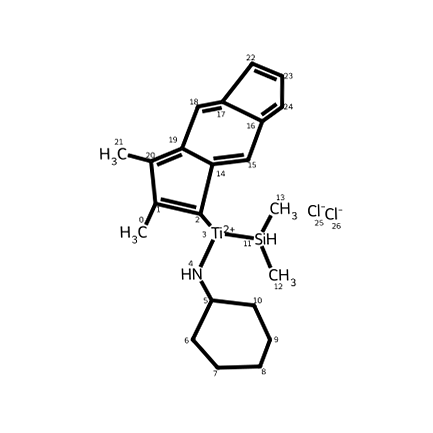 CC1=[C]([Ti+2]([NH]C2CCCCC2)[SiH](C)C)c2cc3c(cc2=C1C)C=CC=3.[Cl-].[Cl-]